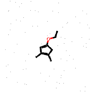 CCOC1=CC(C)=C(C)C1